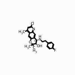 Cc1cc(Cl)nc2cc3c(cc12)OC(C)(C)[C@H](O)[C@H]3NCCc1ccc(F)cc1